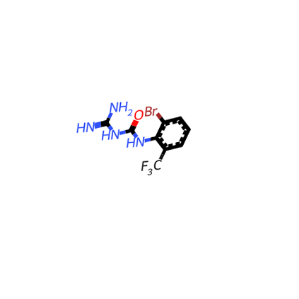 N=C(N)NC(=O)Nc1c(Br)cccc1C(F)(F)F